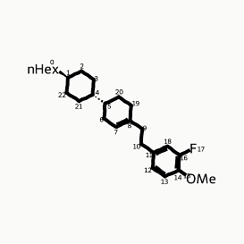 CCCCCC[C@H]1CC[C@H](C2CC=C(CCc3ccc(OC)c(F)c3)CC2)CC1